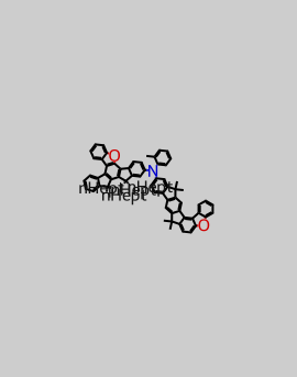 CCCCCCCC1(CCCCCCC)c2cc(N(c3ccc4c(c3)C(C)(C)c3cc5c(cc3-4)C(C)(C)c3ccc4oc6ccccc6c4c3-5)c3ccccc3C)ccc2-c2c1c1c(c3c2oc2ccccc23)-c2ccccc2C1(CCCCCCC)CCCCCCC